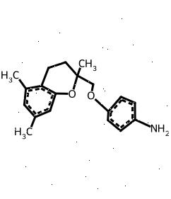 Cc1cc(C)c2c(c1)OC(C)(COc1ccc(N)cc1)CC2